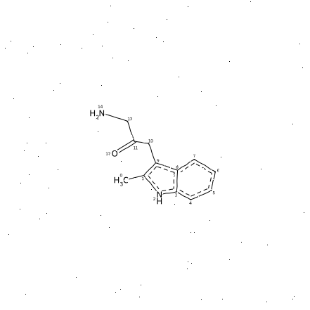 Cc1[nH]c2ccccc2c1CC(=O)CN